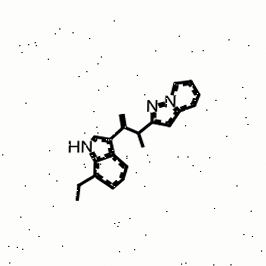 C=C(c1c[nH]c2c(CC)cccc12)C(C)c1cc2ccccn2n1